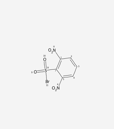 O=[N+]([O-])c1cccc([N+](=O)[O-])c1S(=O)(=O)Br